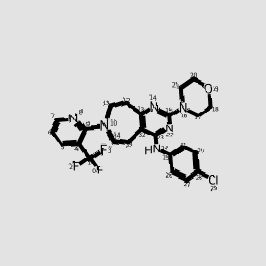 FC(F)(F)c1cccnc1N1CCc2nc(N3CCOCC3)nc(Nc3ccc(Cl)cc3)c2CC1